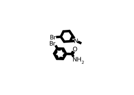 CN1C2CCC(Br)CC21.NC(=O)c1cccc(Br)c1